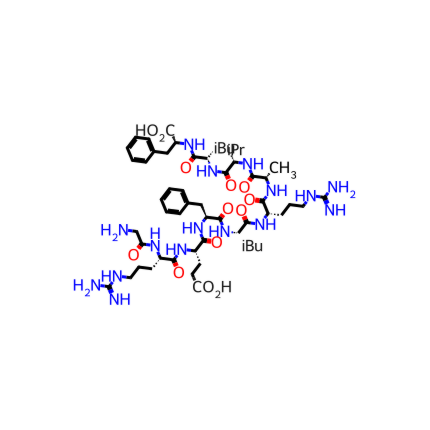 CC[C@H](C)[C@H](NC(=O)[C@H](Cc1ccccc1)NC(=O)[C@H](CCC(=O)O)NC(=O)[C@H](CCCNC(=N)N)NC(=O)CN)C(=O)N[C@@H](CCCNC(=N)N)C(=O)N[C@@H](C)C(=O)N[C@H](C(=O)N[C@H](C(=O)N[C@@H](Cc1ccccc1)C(=O)O)[C@@H](C)CC)C(C)C